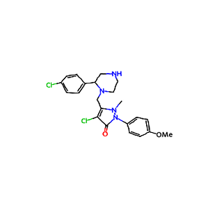 COc1ccc(-n2c(=O)c(Cl)c(CN3CCNCC3c3ccc(Cl)cc3)n2C)cc1